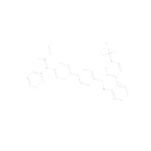 CCNC(=O)C(c1ccccc1)C1CCN(c2ccc(NC(=O)c3ccccc3-c3ccc(C(C)(C)C)cc3)cc2)CC1